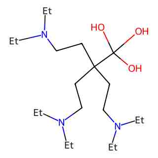 CCN(CC)CCC(CCN(CC)CC)(CCN(CC)CC)C(O)(O)O